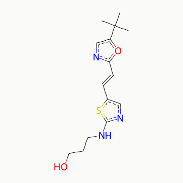 CC(C)(C)c1cnc(C=Cc2cnc(NCCCO)s2)o1